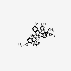 COc1ccc(S(=O)(=O)N2C(=O)C(c3ccccc3C)(N3C[C@H](O)C[C@H]3C(=O)N(C)C)c3cc(Br)ccc32)c(OC(F)(F)F)c1